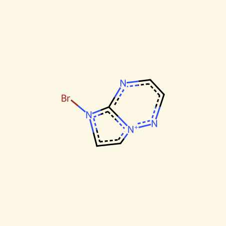 Brn1cc[n+]2nccnc12